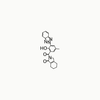 Cc1cc(C(=O)N2CC3=C(CCCC3)C2=O)c(O)c(-n2nc3ccccc3n2)c1